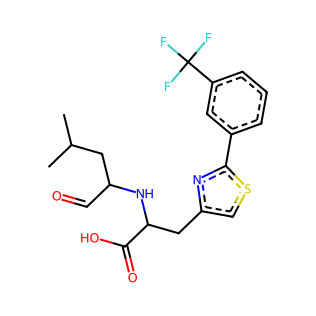 CC(C)CC(C=O)NC(Cc1csc(-c2cccc(C(F)(F)F)c2)n1)C(=O)O